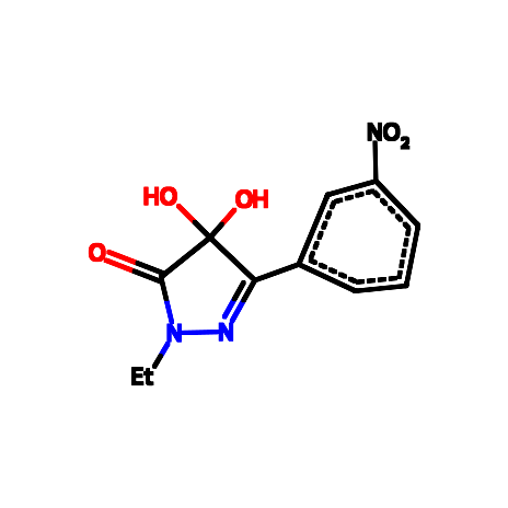 CCN1N=C(c2cccc([N+](=O)[O-])c2)C(O)(O)C1=O